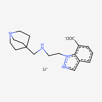 O=C([O-])c1cccc2cnn(CCNCC34CCN(CC3)CC4)c12.[Li+]